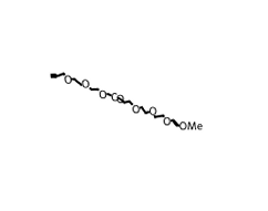 C#CCOCCOCCOCCOCCOCCOCCOC=COC